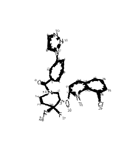 O=C(c1cccc(-n2ccnn2)c1)N1CCC(F)(F)[C@@H](Oc2ccc3cccc(Cl)c3n2)C1